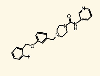 O=C(Nc1cccnc1)N1CCN(Cc2cccc(OCc3ccccc3F)c2)CC1